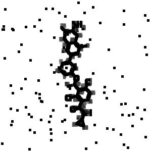 Cc1cc(-c2cncc(O[C@H](C)c3c(Cl)ccc(C(=O)NC4CC4)c3Cl)n2)cc2c1C[C@H](N)N(C)C2